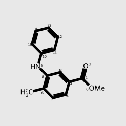 COC(=O)c1ccc(C)c(Nc2ccccc2)c1